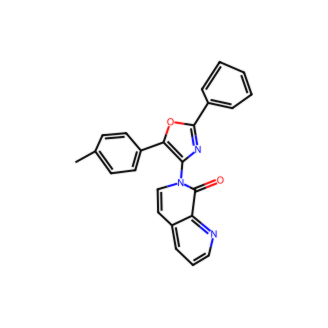 Cc1ccc(-c2oc(-c3ccccc3)nc2-n2ccc3cccnc3c2=O)cc1